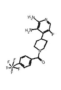 Nc1ncc(F)c(C2CCN(C(=O)c3ccc(S(F)(F)(F)(F)F)cc3)CC2)c1N